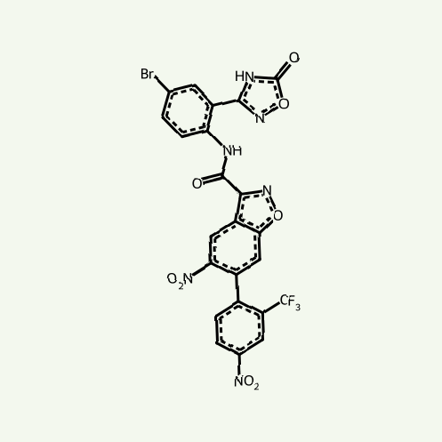 O=C(Nc1ccc(Br)cc1-c1noc(=O)[nH]1)c1noc2cc(-c3ccc([N+](=O)[O-])cc3C(F)(F)F)c([N+](=O)[O-])cc12